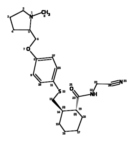 CN1CCCC1COc1ccc(SC[C@@H]2CCCC[C@H]2C(=O)NCC#N)cc1